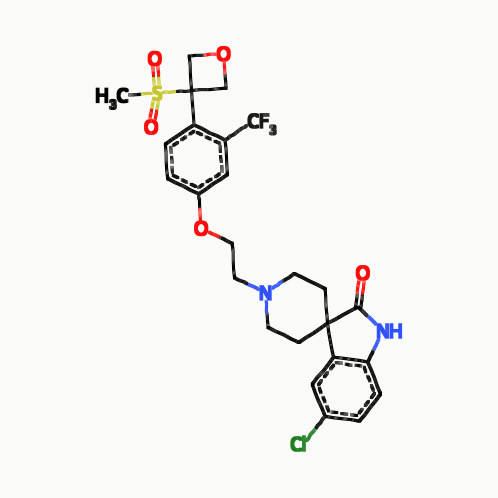 CS(=O)(=O)C1(c2ccc(OCCN3CCC4(CC3)C(=O)Nc3ccc(Cl)cc34)cc2C(F)(F)F)COC1